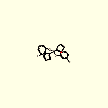 Fc1cccc([O][Zr]([O]c2cccc(F)c2)([C]2=CC=CC2)[C]2=CC=CC2)c1